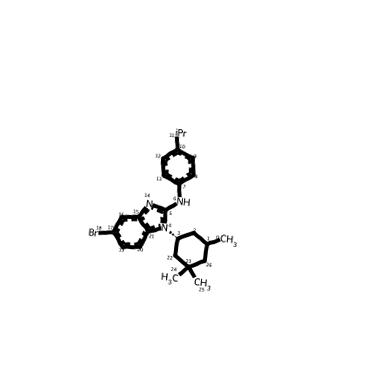 CC1C[C@@H](n2c(Nc3ccc(C(C)C)cc3)nc3cc(Br)ccc32)CC(C)(C)C1